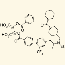 CCN(CC1CCN(C(=O)N2CCCCC2)CC1)C(C)Cc1cccc(C(F)(F)F)c1.O=C(O[C@@H](C(=O)O)[C@@H](OC(=O)c1ccccc1)C(=O)O)c1ccccc1